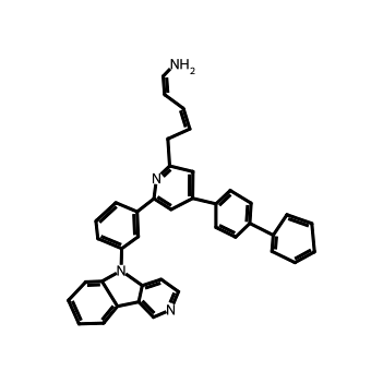 N/C=C\C=C/Cc1cc(-c2ccc(-c3ccccc3)cc2)cc(-c2cccc(-n3c4ccccc4c4cnccc43)c2)n1